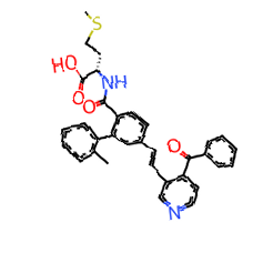 CSCC[C@H](NC(=O)c1ccc(C=Cc2cnccc2C(=O)c2ccccc2)cc1-c1ccccc1C)C(=O)O